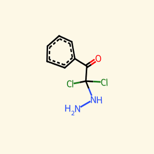 NNC(Cl)(Cl)C(=O)c1ccccc1